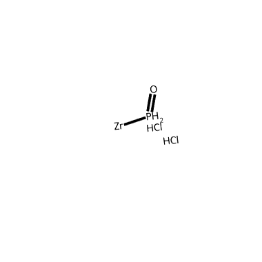 Cl.Cl.O=[PH2][Zr]